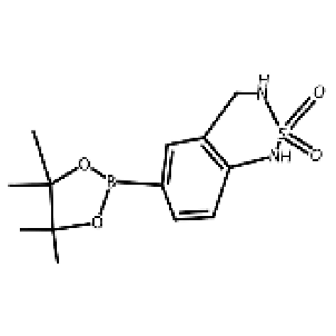 CC1(C)OB(c2ccc3c(c2)CNS(=O)(=O)N3)OC1(C)C